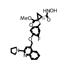 COC(=O)[C@@]1(Cc2ccc(OCc3cc(N4CCCC4)nc4ccccc34)c(F)c2)C[C@@H]1C(=O)NO